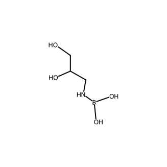 OCC(O)CNB(O)O